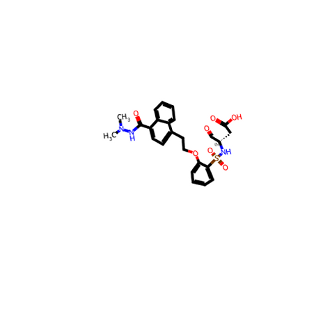 CN(C)NC(=O)c1ccc(CCOc2ccccc2S(=O)(=O)N[C@H](C=O)CC(=O)O)c2ccccc12